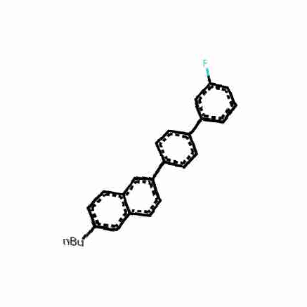 CCCCc1ccc2cc(-c3ccc(-c4cccc(F)c4)cc3)ccc2c1